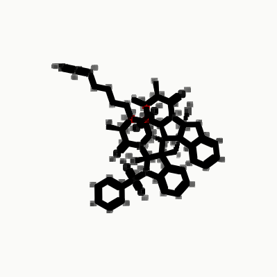 CN1C(=O)[C@@]23C[C@]4(C[C@]56C[C@@]78SS[C@@](C)(C(=O)N7[C@H]5N(S(=O)(=O)c5ccccc5)c5ccccc56)N(CCCCN=[N+]=[N-])C8=O)c5ccccc5C[C@@H]4N2C(=O)[C@]1(C)SS3